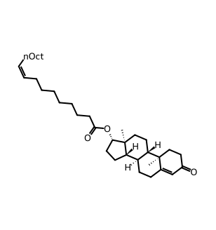 CCCCCCCC/C=C\CCCCCCCC(=O)O[C@H]1CC[C@H]2[C@@H]3CCC4=CC(=O)CC[C@]4(C)[C@H]3CC[C@]12C